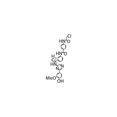 COc1cc(-c2cncc(N[C@@H](C)c3cccc(NC(=O)c4ccc(NC(=O)CCl)cc4)c3)n2)ccc1O